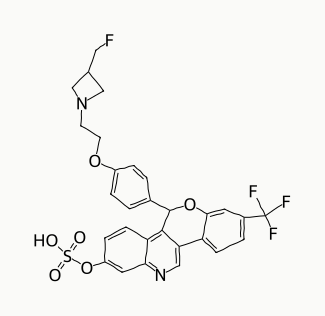 O=S(=O)(O)Oc1ccc2c3c(cnc2c1)-c1ccc(C(F)(F)F)cc1OC3c1ccc(OCCN2CC(CF)C2)cc1